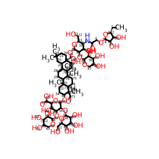 CC[C@@H]1O[C@@H](OCC(=O)N[C@H]2C(CO)O[C@@H](OC(=O)[C@]34CCC(C)(C)CC3C3=CCC5C6(C)CC[C@H](O[C@@H]7OC(C(=O)O)[C@@H](O)[C@H](O[C@@H]8OC[C@@H](O)[C@H](O)C8O)C7O[C@@H]7OC(CO)[C@H](O)[C@H](O)C7O)[C@](C)(C=O)[C@@H]6CC[C@]5(C)[C@]3(C)CC4O)C(O[C@@H]3OC[C@@H](O)C(O)C3O)C2O)C(O)C1O